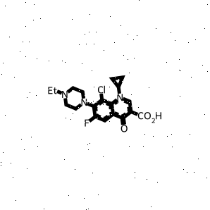 CCN1CCN(c2c(F)cc3c(=O)c(C(=O)O)cn(C4CC4)c3c2Cl)CC1